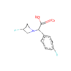 O=C(O)C(c1ccc(F)cc1)N1CC(F)C1